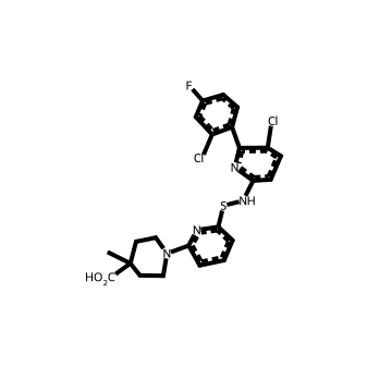 CC1(C(=O)O)CCN(c2cccc(SNc3ccc(Cl)c(-c4ccc(F)cc4Cl)n3)n2)CC1